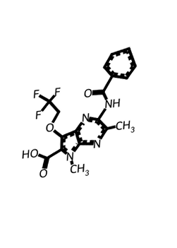 Cc1nc2c(nc1NC(=O)c1ccccc1)c(OCC(F)(F)F)c(C(=O)O)n2C